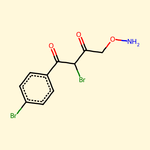 NOCC(=O)C(Br)C(=O)c1ccc(Br)cc1